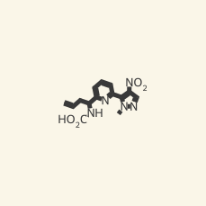 C=CCC(NC(=O)O)c1cccc(-c2c([N+](=O)[O-])cnn2C)n1